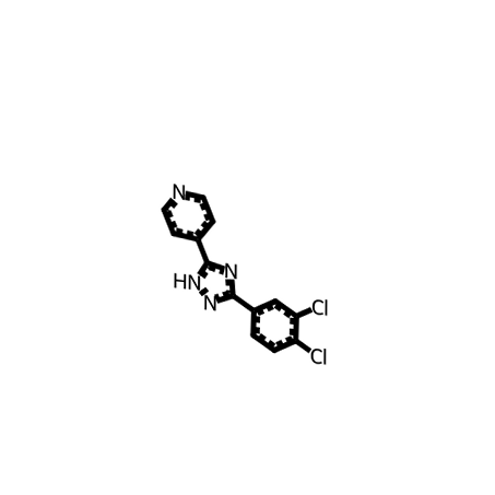 Clc1ccc(-c2n[nH]c(-c3ccncc3)n2)cc1Cl